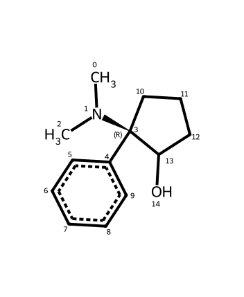 CN(C)[C@@]1(c2ccccc2)CCCC1O